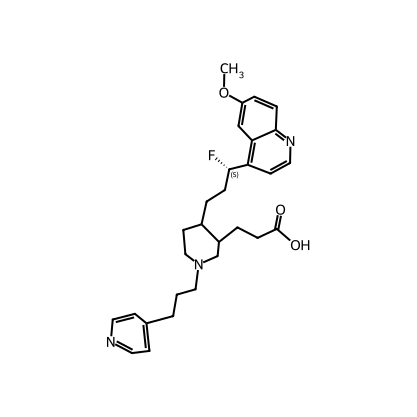 COc1ccc2nccc([C@@H](F)CCC3CCN(CCCc4ccncc4)CC3CCC(=O)O)c2c1